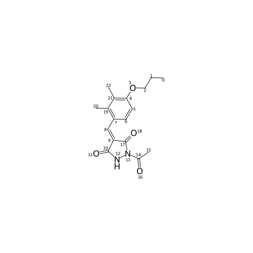 CCCOc1ccc(/C=C2/C(=O)NN(C(C)=O)C2=O)c(C)c1C